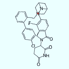 O=C1CCC(N2Cc3c(ccc(CN4C5CC4CN(Cc4ccccc4-c4ccc(Cl)cc4)C5)c3F)C2=O)C(=O)N1